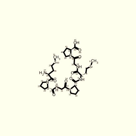 CSCC[C@H](NC(=O)[C@@H]1CCCN1C(=O)CNC(=O)[C@@H]1CCCN1C(=O)[C@@H](N)CCSC)C(=O)NCC(=O)N1CCC[C@H]1C(=O)O